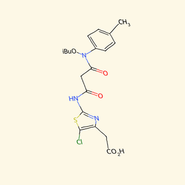 Cc1ccc(N(OCC(C)C)C(=O)CC(=O)Nc2nc(CC(=O)O)c(Cl)s2)cc1